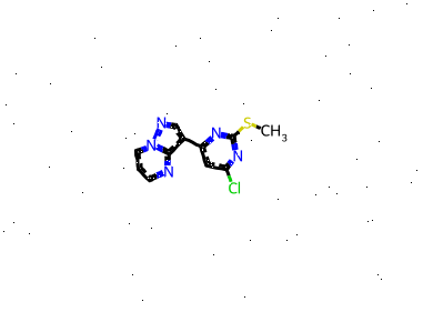 CSc1nc(Cl)cc(-c2cnn3cccnc23)n1